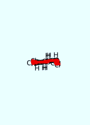 CN1Cc2c(Cl)cc(Cl)cc2[C@H](c2cccc(S(=O)(=O)NCCOCCOCCOCCNC(=O)Nc3ccc(NC(=O)NCCOCCOCCOCCNS(=O)(=O)C4CCCC([C@@H]5CN(C)Cc6c(Cl)cc(Cl)cc65)C4)cc3)c2)C1